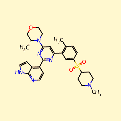 Cc1ccc(S(=O)(=O)C2CCN(C)CC2)cc1-c1cc(N2CCOC[C@H]2C)nc(-c2ccnc3[nH]ccc23)n1